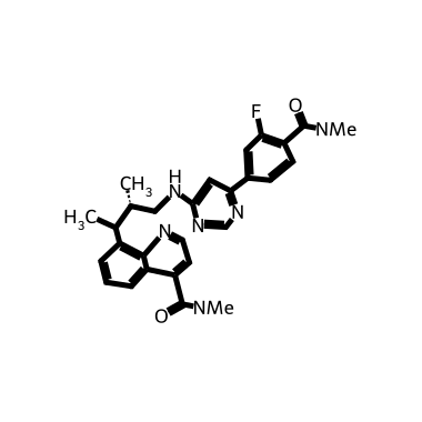 CNC(=O)c1ccc(-c2cc(NC[C@@H](C)C(C)c3cccc4c(C(=O)NC)ccnc34)ncn2)cc1F